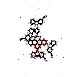 N#Cc1ccc2c(c1)c1ccccc1n2-c1ccc(-c2nc(-c3ccc(-n4c5ccccc5c5cc(C#N)ccc54)cc3)c(-n3c4ccccc4c4cc(C#N)ccc43)c(-c3ccccc3-c3nc(-c4ccccc4)nc(-c4ccccc4)n3)c2-c2ccc(-n3c4ccccc4c4cc(C#N)ccc43)cc2)cc1